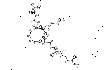 C=CC(=O)OCCNC(=O)OCCC[Si]1(C)OCCCC[Si](C)(CCCNC(C)=O)O[Si](C)(CCCOC)O1